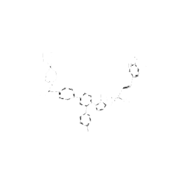 Nc1ccc(/C=C/C(=O)NCc2ccc(-c3ccc(-c4ccc(C(=O)N5CCC(F)(F)CC5)cc4)cc3-c3ccc(F)cc3)[nH]2)cn1